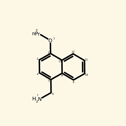 CCCOc1ccc(CN)c2ccccc12